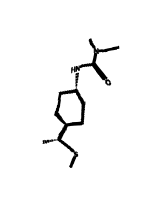 CS[C@H](C)[C@H]1CC[C@H](NC(=O)N(C)C)CC1